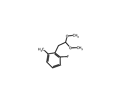 COC(Cc1c(F)[c]ccc1C)OC